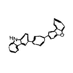 C1=CC(c2ccc3oc4ccccc4c3c2)=CC=C(c2ccc3[nH]c4ccccc4c3c2)C1